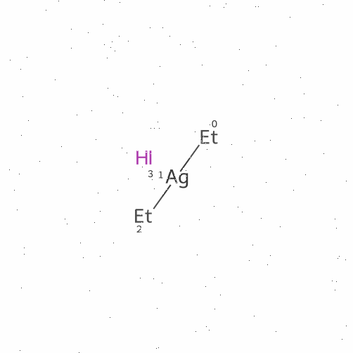 C[CH2][Ag][CH2]C.I